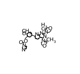 COc1ccc(-c2ccc3c(N4CCOC[C@@H]4C)nc(N4CCOC[C@@H]4C)nc3n2)cc1COC(=O)n1ccnc1